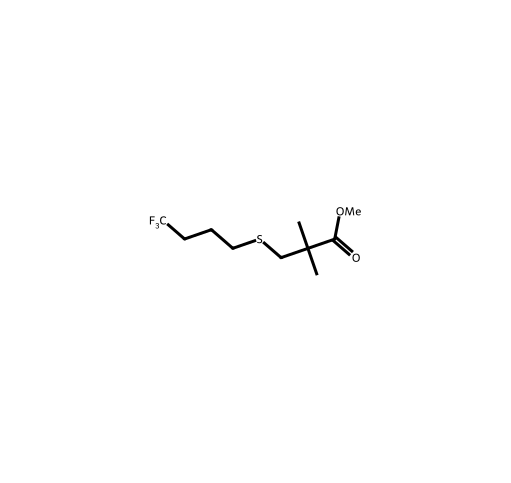 COC(=O)C(C)(C)CSCCCC(F)(F)F